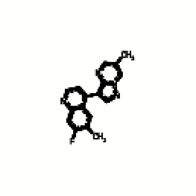 Cc1cnc2c(-c3ccnc4cc(F)c(C)cc34)cnn2c1